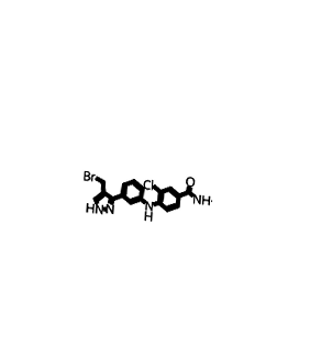 [NH]C(=O)c1ccc(Nc2cccc(-c3n[nH]cc3CBr)c2)c(Cl)c1